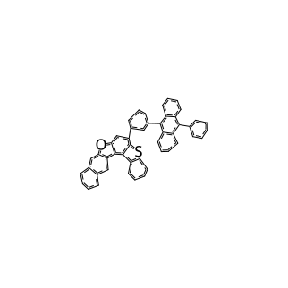 c1ccc(-c2c3ccccc3c(-c3cccc(-c4cc5oc6cc7ccccc7cc6c5c5c4sc4ccccc45)c3)c3ccccc23)cc1